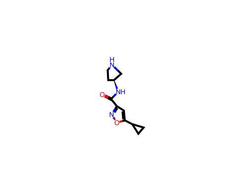 O=C(N[C@H]1CCNC1)c1cc(C2CC2)on1